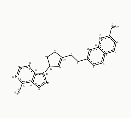 CNc1ccc2ccc(CCC3=CC(n4ccc5c(N)ncnc54)CC3)cc2n1